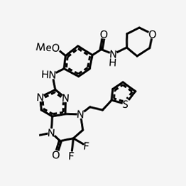 COc1cc(C(=O)NC2CCOCC2)ccc1Nc1ncc2c(n1)N(CCc1cccs1)CC(F)(F)C(=O)N2C